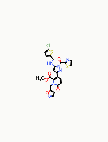 COC(=O)c1c(-c2cc(NCc3ccc(Cl)s3)n(C(=O)c3nccs3)n2)ccc(=O)n1Cc1ccno1